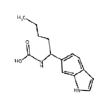 CCCCC(NC(=O)O)c1ccc2cc[nH]c2c1